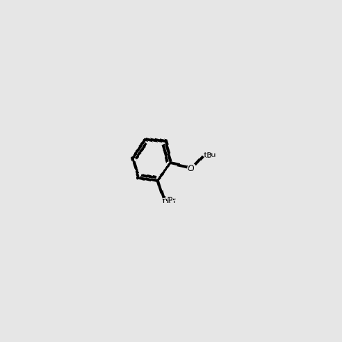 CCCc1ccccc1OC(C)(C)C